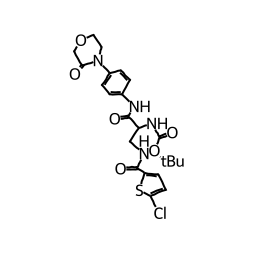 CC(C)(C)OC(=O)NC(CNC(=O)c1ccc(Cl)s1)C(=O)Nc1ccc(N2CCOCC2=O)cc1